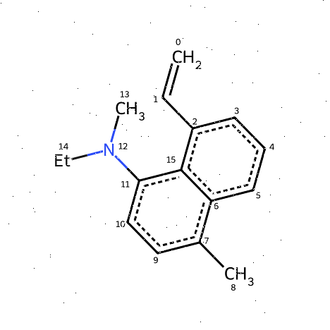 C=Cc1cccc2c(C)ccc(N(C)CC)c12